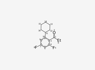 CCC(=O)c1c(F)cc(F)cc1C1CCCCC1